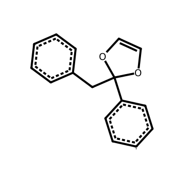 [c]1ccc(C2(Cc3ccccc3)OC=CO2)cc1